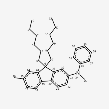 CCCCCCC1(CCCCCC)c2cc(C)ccc2-c2ccc(N(C)c3ccccc3)cc21